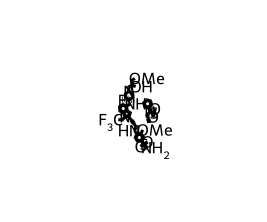 C#CCN(c1ccccc1)S(C)(=O)=O.COCC(O)CN1CC[C@H](Nc2cccc3c2cc(C#CCNc2ccc(S(N)(=O)=O)cc2OC)n3CC(F)(F)F)[C@H](F)C1